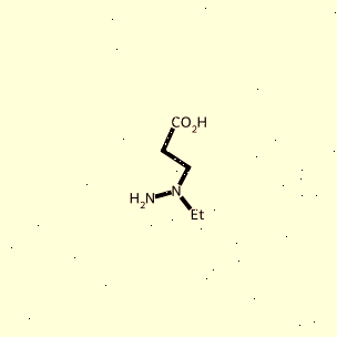 CCN(N)CCC(=O)O